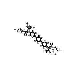 CCOC(=O)N(C(=N)N)c1ccc(-c2ccc(-c3ccc(N(C(=N)N)C(=O)OCC)cn3)cc2)nc1